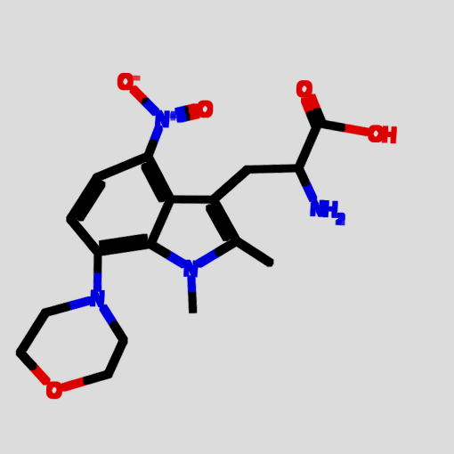 Cc1c(CC(N)C(=O)O)c2c([N+](=O)[O-])ccc(N3CCOCC3)c2n1C